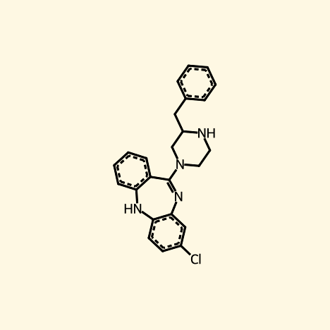 Clc1ccc2c(c1)N=C(N1CCNC(Cc3ccccc3)C1)c1ccccc1N2